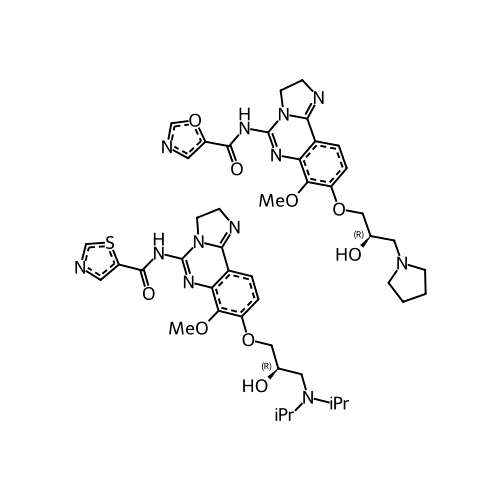 COc1c(OC[C@H](O)CN(C(C)C)C(C)C)ccc2c1N=C(NC(=O)c1cncs1)N1CCN=C21.COc1c(OC[C@H](O)CN2CCCC2)ccc2c1N=C(NC(=O)c1cnco1)N1CCN=C21